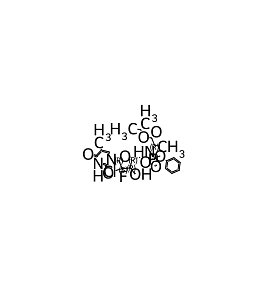 Cc1cn([C@@H]2O[C@H](CO[P@@](=O)(N[C@H](C)C(=O)OC(C)C)Oc3ccccc3)[C@@H](O)[C@]2(F)Cl)c(=O)[nH]c1=O